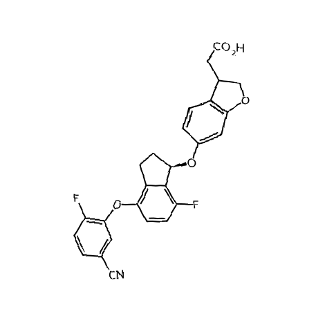 N#Cc1ccc(F)c(Oc2ccc(F)c3c2CC[C@H]3Oc2ccc3c(c2)OCC3CC(=O)O)c1